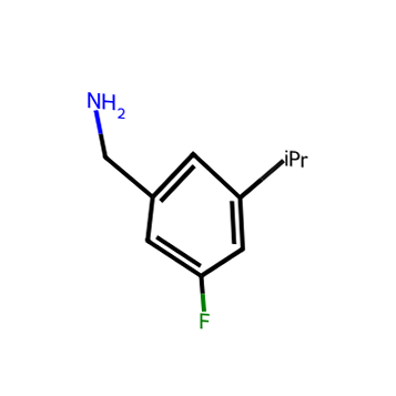 CC(C)c1cc(F)cc(CN)c1